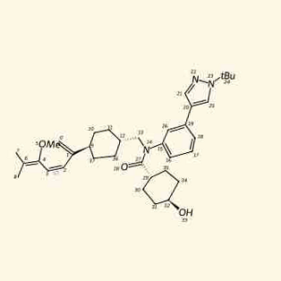 C=C(/C=C\C(OC)=C(C)C)[C@H]1CC[C@H](CN(c2cccc(-c3cnn(C(C)(C)C)c3)c2)C(=O)[C@H]2CC[C@H](O)CC2)CC1